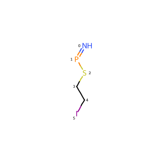 N=PSCCI